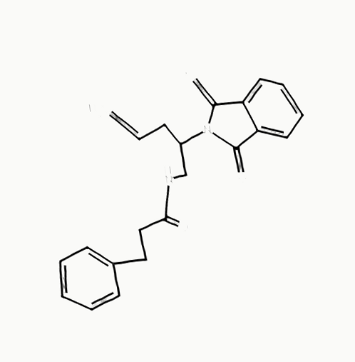 C=CCC(CNC(=O)CCc1ccccc1)N1C(=O)c2ccccc2C1=O